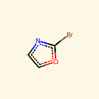 Brc1n[c]co1